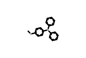 CSc1ccc(N(c2ccccc2)c2ccccc2)cc1